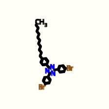 CCCCCCCCCCCCc1ccc(-c2nc(-c3ccc(Br)cc3)nc(-c3ccc(Br)cc3)n2)cc1